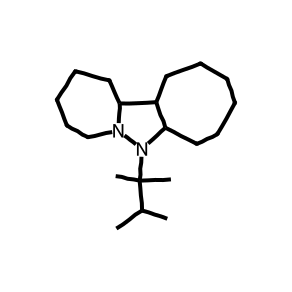 CC(C)C(C)(C)N1C2CCCCCCC2C2CCCCCN21